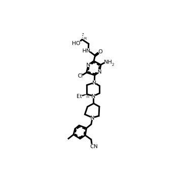 CC[C@H]1CN(c2nc(N)c(C(=O)NC[C@@H](C)O)nc2Cl)CCN1C1CCN(Cc2ccc(C)cc2CC#N)CC1